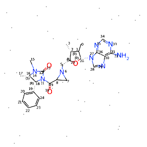 CC1[C@@H](C)[C@@H](CN2CC2C(=O)N2C(=O)N(C)[C@@H](C)[C@H]2c2ccccc2)O[C@H]1n1cnc2c(N)ncnc21